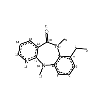 CCc1cccc2c1N(C)C(=O)c1cccnc1N2C